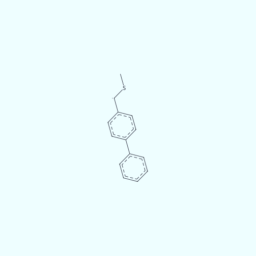 CS[CH]c1ccc(-c2ccccc2)cc1